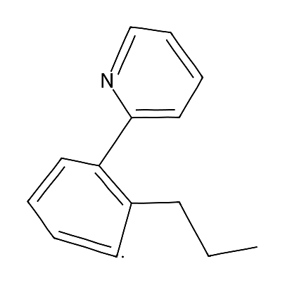 CCCc1[c]cccc1-c1ccccn1